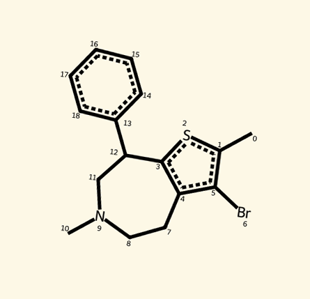 Cc1sc2c(c1Br)CCN(C)CC2c1ccccc1